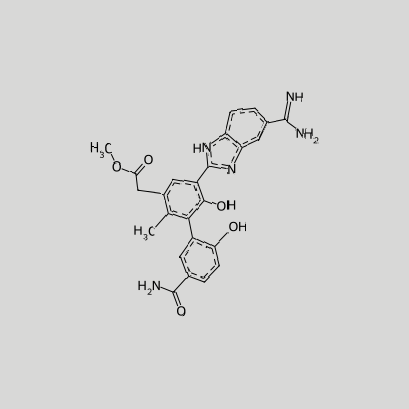 COC(=O)Cc1cc(-c2nc3cc(C(=N)N)ccc3[nH]2)c(O)c(-c2cc(C(N)=O)ccc2O)c1C